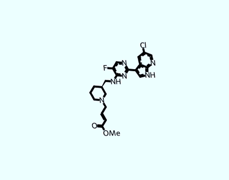 COC(=O)C=CCN1CCC[C@@H](CNc2nc(-c3c[nH]c4ncc(Cl)cc34)ncc2F)C1